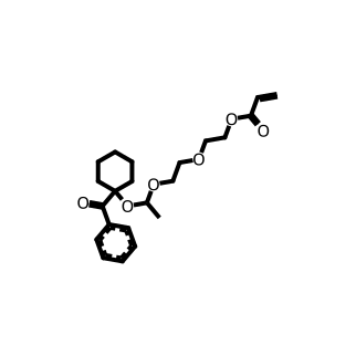 C=CC(=O)OCCOCCOC(C)OC1(C(=O)c2ccccc2)CCCCC1